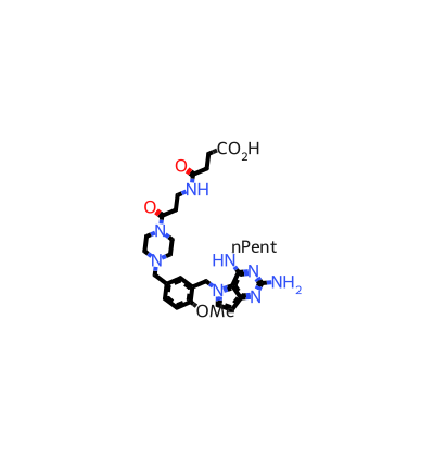 CCCCCNc1nc(N)nc2ccn(Cc3cc(CN4CCN(C(=O)CCNC(=O)CCC(=O)O)CC4)ccc3OC)c12